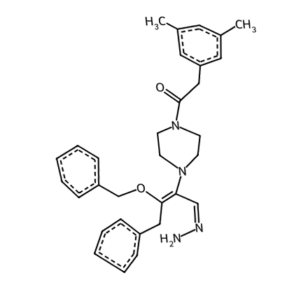 Cc1cc(C)cc(CC(=O)N2CCN(C(/C=N\N)=C(/Cc3ccccc3)OCc3ccccc3)CC2)c1